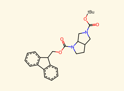 CC(C)(C)OC(=O)N1CC2CCN(C(=O)OCC3c4ccccc4-c4ccccc43)C2C1